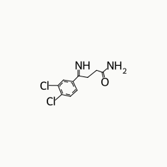 N=C(CCC(N)=O)c1ccc(Cl)c(Cl)c1